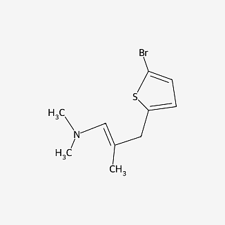 CC(=CN(C)C)Cc1ccc(Br)s1